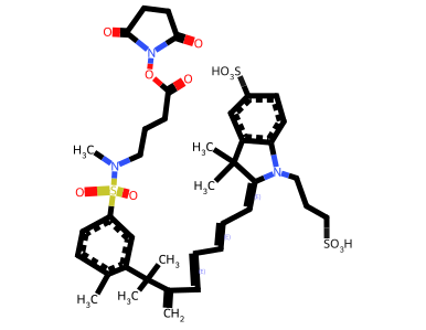 C=C(/C=C/C=C/C=C1/N(CCCS(=O)(=O)O)c2ccc(S(=O)(=O)O)cc2C1(C)C)C(C)(C)c1cc(S(=O)(=O)N(C)CCCC(=O)ON2C(=O)CCC2=O)ccc1C